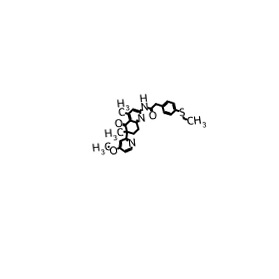 CCSc1ccc(CC(=O)Nc2cc(C)c3c(n2)CCC(C)(c2cc(OC)ccn2)C3=O)cc1